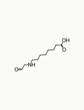 O=CCNCCCCCCCC(=O)O